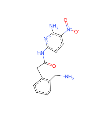 NCc1ccccc1CC(=O)Nc1ccc([N+](=O)[O-])c(N)n1